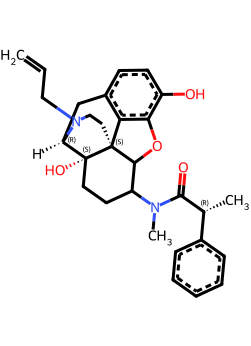 C=CCN1CC[C@]23c4c5ccc(O)c4OC2C(N(C)C(=O)[C@H](C)c2ccccc2)CC[C@@]3(O)[C@H]1C5